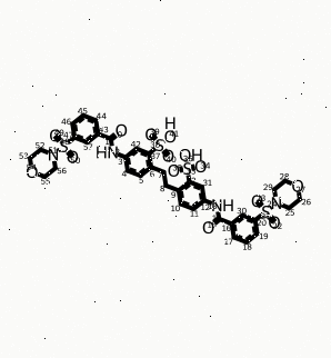 O=C(Nc1ccc(CCc2ccc(NC(=O)c3cccc(S(=O)(=O)N4CCOCC4)c3)cc2S(=O)(=O)O)c(S(=O)(=O)O)c1)c1cccc(S(=O)(=O)N2CCOCC2)c1